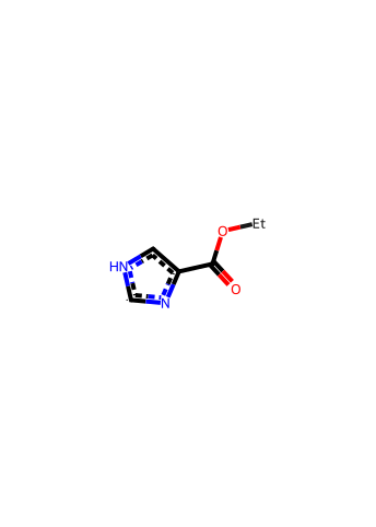 CCOC(=O)c1c[nH][c]n1